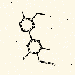 CCc1cc(-c2cc(F)c(N=C=S)c(F)c2)ccc1I